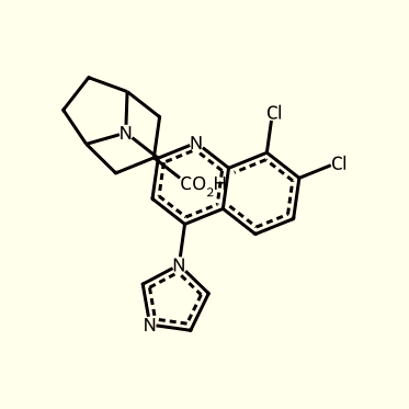 O=C(O)C1CC2CCC(C1)N2c1cc(-n2ccnc2)c2ccc(Cl)c(Cl)c2n1